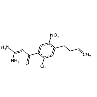 C=CCCc1cc(C)c(C(=O)N=C(N)N)cc1[N+](=O)[O-]